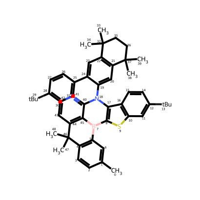 Cc1ccc2c(c1)B1c3sc4cc(C(C)(C)C)ccc4c3N(c3cc4c(cc3-c3ccc(C(C)(C)C)cc3)C(C)(C)CCC4(C)C)c3nccc(c31)C2(C)C